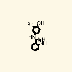 Oc1ccc(NC2=C3C=CC=CC3NN2)cc1Br